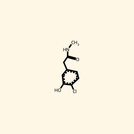 CNC(=O)Cc1ccc(Cl)c(O)c1